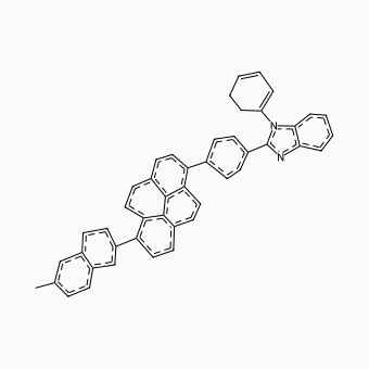 Cc1ccc2cc(-c3ccc4ccc5c(-c6ccc(-c7nc8ccccc8n7C7=CC=CCC7)cc6)ccc6ccc3c4c65)ccc2c1